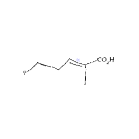 C/C(=C\CCF)C(=O)O